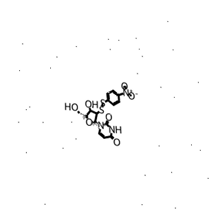 O=c1ccn([C@@H]2O[C@H](CO)C(O)C2SSc2ccc([N+](=O)[O-])cc2)c(=O)[nH]1